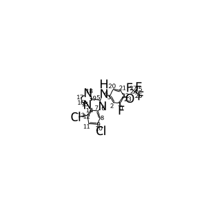 Fc1cc(NC2=Nc3cc(Cl)cc(Cl)c3N3CCN=C23)ccc1OC(F)(F)F